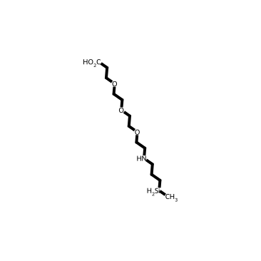 C[SiH2]CCCNCCOCCOCCOCCC(=O)O